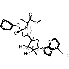 COC(=O)[C@H](C)NP(=O)(Oc1ccccc1)O[C@H](C)[C@H]1O[C@@H](n2ccc3c(N)ccnc32)[C@](C)(O)[C@@H]1O